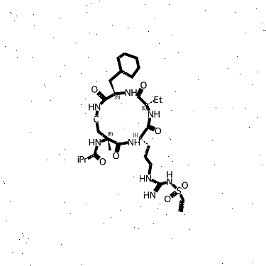 C=CS(=O)(=O)NC(=N)NCCC[C@@H]1NC(=O)[C@](C)(NC(=O)C(C)C)CCNC(=O)[C@@H](CC2CCCCC2)NC(=O)[C@H](CC)NC1=O